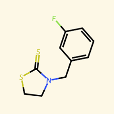 Fc1cccc(CN2CCSC2=S)c1